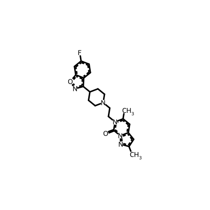 Cc1cc2cc(C)n(CCN3CCC(c4noc5cc(F)ccc45)CC3)c(=O)n2n1